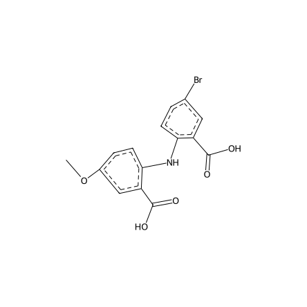 COc1ccc(Nc2ccc(Br)cc2C(=O)O)c(C(=O)O)c1